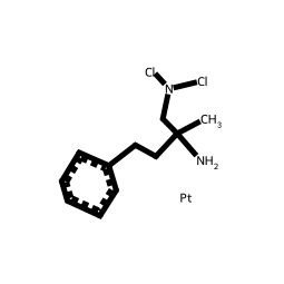 CC(N)(CCc1ccccc1)CN(Cl)Cl.[Pt]